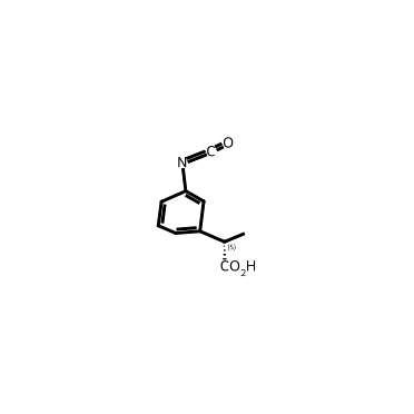 C[C@H](C(=O)O)c1cccc(N=C=O)c1